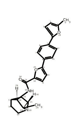 Cc1ccc(-c2ccc(-c3ccc(C(=O)N[C@@H]4C5CCN(CC5)[C@H]4C)o3)cc2)o1